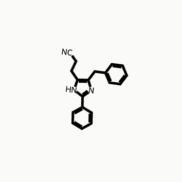 N#CCCc1[nH]c(-c2ccccc2)nc1Cc1ccccc1